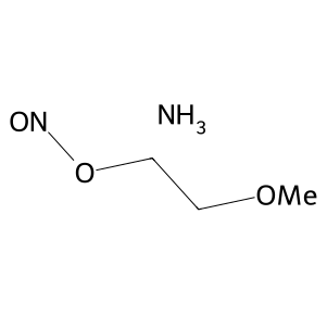 COCCON=O.N